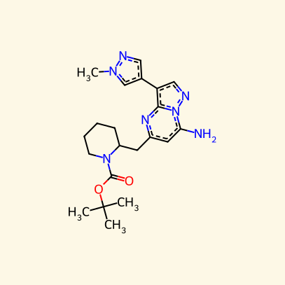 Cn1cc(-c2cnn3c(N)cc(CC4CCCCN4C(=O)OC(C)(C)C)nc23)cn1